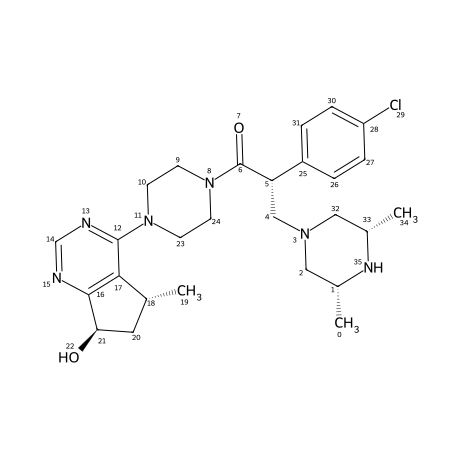 C[C@@H]1CN(C[C@H](C(=O)N2CCN(c3ncnc4c3[C@H](C)C[C@H]4O)CC2)c2ccc(Cl)cc2)C[C@H](C)N1